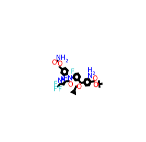 CC(C)(C)OC(=O)c1ccc(C(OCC2CC2)c2ccc(F)c(NC(=O)c3cc(C(F)(F)F)nn3-c3cccc(COC(N)=O)c3)c2)cc1N